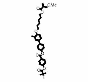 C=C(COC)C(=O)OCCCCCCOc1ccc(-c2ccc(OC(=O)c3ccc(OC(=O)C(C)(C)F)cc3)cc2)cc1C